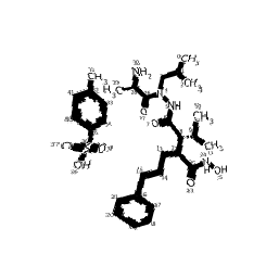 CC(C)CN(NC(=O)[C@H](C(C)C)C(CCCc1ccccc1)C(=O)NO)C(=O)[C@@H](C)N.Cc1ccc(S(=O)(=O)O)cc1